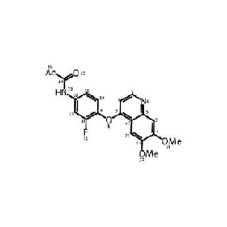 COc1cc2nccc(Oc3ccc(NC(=O)C(C)=O)cc3F)c2cc1OC